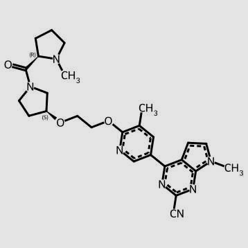 Cc1cc(-c2nc(C#N)nc3c2ccn3C)cnc1OCCO[C@H]1CCN(C(=O)[C@H]2CCCN2C)C1